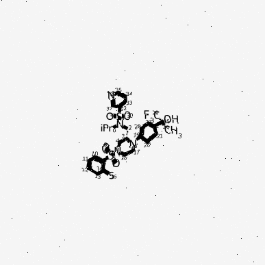 CC(C)N(C[C@H]1CN(S(=O)(=O)C2=CC=CCC2=S)CCN1c1ccc([C@@](C)(O)C(F)(F)F)cc1)S(=O)(=O)c1cccnc1